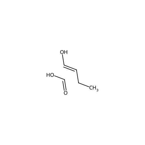 CCC=CO.O=CO